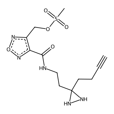 C#CCCC1(CCNC(=O)c2nonc2COS(C)(=O)=O)NN1